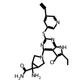 C#Cc1cncc(Sc2nc(N3CC4C(C3)C4(N)C(N)=O)c3c(Cl)c(CC)[nH]c3n2)c1